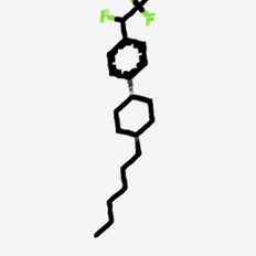 CCCCCC[C@H]1CC[C@H](c2ccc(C(F)C(C)(F)F)cc2)CC1